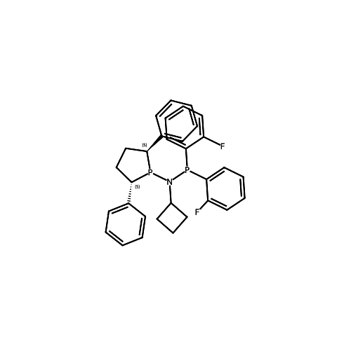 Fc1ccccc1P(c1ccccc1F)N(C1CCC1)P1[C@H](c2ccccc2)CC[C@H]1c1ccccc1